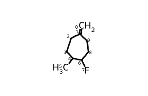 C=C1CCC(C)C(F)CC1